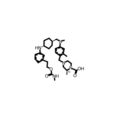 CNC(=O)OCCc1cccc(N[C@H]2CC[C@H](CN(C)c3ccc(CN4CCN(C(=O)O)[C@@H](C)C4)c(C)c3)CC2)c1